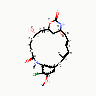 COc1cc2cc(c1Cl)N(C)C(=O)CCC[C@H](O)C[C@@H]1C[C@](O)(C/C=C/C=C(\C)C2)NC(=O)O1